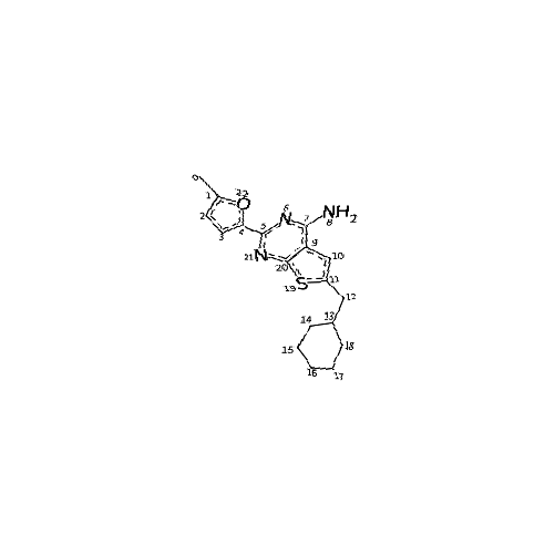 Cc1ccc(-c2nc(N)c3cc(CC4CCCCC4)sc3n2)o1